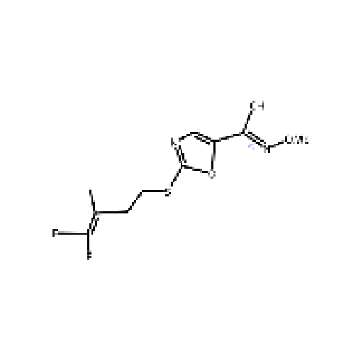 CO/N=C(\C)c1cnc(SCCC(F)=C(F)F)o1